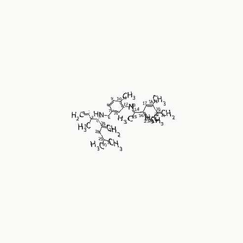 C=C[C@H](C)[C@H](NCc1ccc(C)c(/N=C(C)/C(/C=C(/C)C(=C)C)=C/C)c1)C(=C)CC(C)C